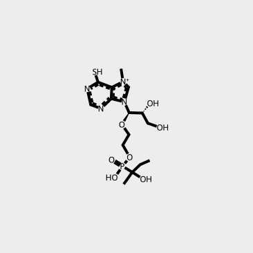 CCC(C)(O)P(=O)(O)OCCO[C@H]([C@H](O)CO)n1c[n+](C)c2c(S)ncnc21